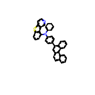 C1=CC(N(c2ccc(-c3cc4ccc5ccccc5c4c4ccccc34)cc2)c2cccc3sc4ccncc4c23)=CCC1